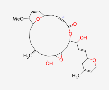 C=C1CCCC2OC(C=CC2OC)C/C=C\C(=O)OC(C(O)C=CC2CC(C)=CCO2)CC2OC2C(O)C1